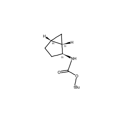 CC(C)(C)OC(=O)N[C@H]1CC[C@@H]2C[C@@H]21